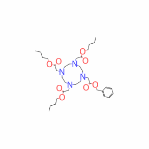 CCCCOC(=O)CN1CCN(CC(=O)OCCCC)CCN(CC(=O)OCc2ccccc2)CCN(CC(=O)OCCCC)CC1